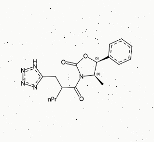 CCCC(Cc1nnn[nH]1)C(=O)N1C(=O)O[C@@H](c2ccccc2)[C@H]1C